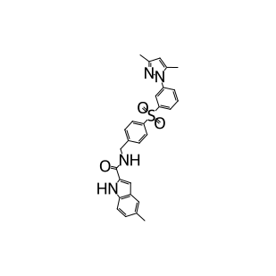 Cc1ccc2[nH]c(C(=O)NCc3ccc(S(=O)(=O)c4cccc(-n5nc(C)cc5C)c4)cc3)cc2c1